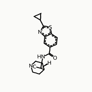 O=C(N[C@H]1CN2CCC1CC2)c1ccc2sc(C3CC3)nc2c1